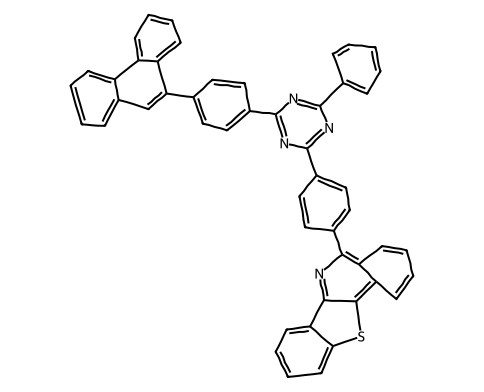 c1ccc(-c2nc(-c3ccc(-c4cc5ccccc5c5ccccc45)cc3)nc(-c3ccc(-c4nc5c6ccccc6sc5c5ccccc45)cc3)n2)cc1